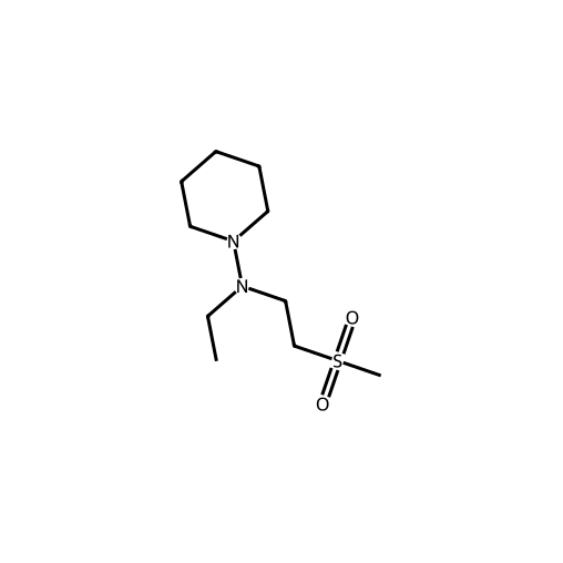 CCN(CCS(C)(=O)=O)N1CCCCC1